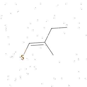 CC/C(C)=C/[S]